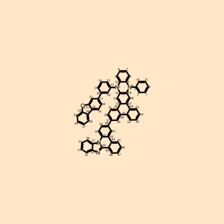 c1ccc(N2c3ccccc3N(c3cccc(-c4ccc5c(c4)oc4ccccc45)c3)c3cc4c5ccc(-c6ccc7c(c6)c6ccccc6c6nc8ccccc8n76)cc5c5ccccc5c4cc32)cc1